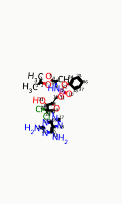 CC(C)OC(=O)C(C)NP(=O)(OC[C@H]1O[C@@H](n2cnc3c(N)nc(N)nc32)C(Cl)(Cl)[C@@H]1O)Oc1ccccc1